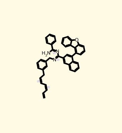 C=C/C=C\C=C/Cc1cccc(C/N=C(\N=C(/N)c2ccccc2)c2cc(-c3cccc4oc5ccccc5c34)c3ccccc3c2)c1